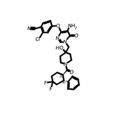 N#Cc1ccc(Oc2ncn(CC3(O)CCN(C(=O)[C@@H]4CCC(F)(F)C[C@H]4c4ccccc4)CC3)c(=O)c2N)cc1Cl